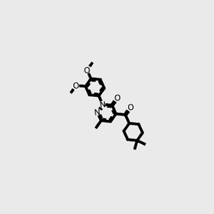 COc1ccc(-n2nc(C)cc(C(=O)C3CCC(C)(C)CC3)c2=O)cc1OC